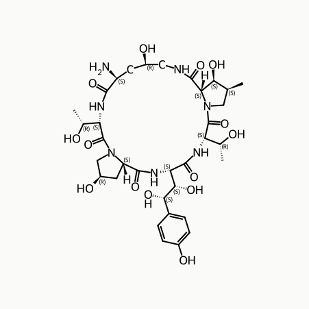 C[C@@H](O)[C@@H]1NC(=O)[C@H]([C@H](O)[C@@H](O)c2ccc(O)cc2)NC(=O)[C@@H]2C[C@@H](O)CN2C(=O)[C@H]([C@@H](C)O)NC(=O)[C@@H](N)C[C@@H](O)CNC(=O)[C@@H]2[C@@H](O)[C@@H](C)CN2C1=O